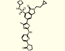 Cc1nc(Nc2cccc(N3CCOC3=O)n2)sc1-c1cc2c(c(S(=O)(=O)NC3COC3)c1)C(=O)N(CCC1CC1)C2